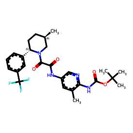 Cc1cc(NC(=O)C(=O)N2C[C@H](C)CC[C@H]2c2cccc(C(F)(F)F)c2)cnc1NC(=O)OC(C)(C)C